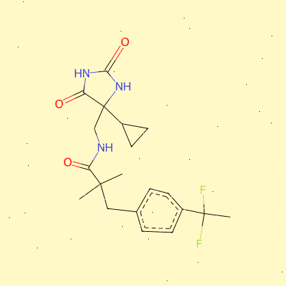 CC(C)(Cc1ccc(C(C)(F)F)cc1)C(=O)NCC1(C2CC2)NC(=O)NC1=O